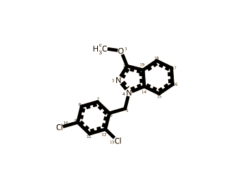 COc1nn(Cc2ccc(Cl)cc2Cl)c2ccccc12